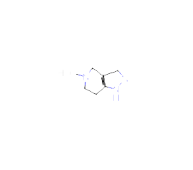 CN1CCC2=C(CNN2)C1